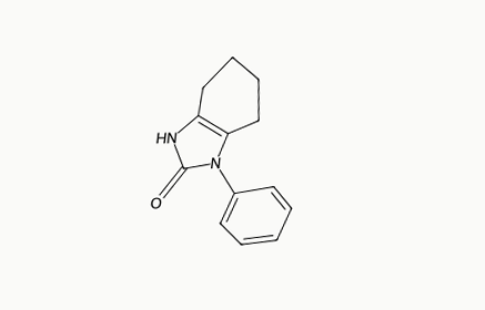 O=c1[nH]c2c(n1-c1ccccc1)CCCC2